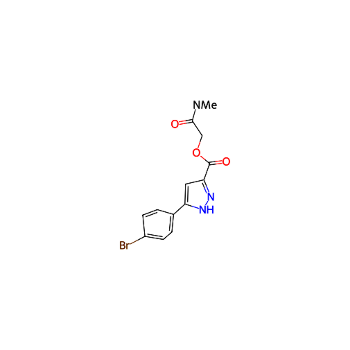 CNC(=O)COC(=O)c1cc(-c2ccc(Br)cc2)[nH]n1